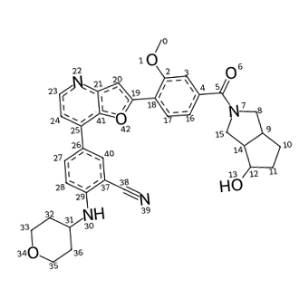 COc1cc(C(=O)N2CC3CCC(O)C3C2)ccc1-c1cc2nccc(-c3ccc(NC4CCOCC4)c(C#N)c3)c2o1